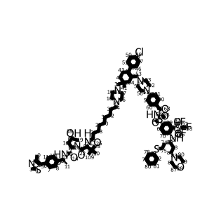 Cc1ncsc1-c1ccc([C@H](C)NC(=O)[C@@H]2C[C@@H](O)CN2C(=O)[C@@H](NC(=O)CCCCCCCCN2CCN(CC3(C)CCC(c4ccc(Cl)cc4)=C(CN4CCN(c5ccc(C(=O)NS(=O)(=O)c6ccc(N[C@@H](CCSc7ccccc7)CCN7CCOCC7)c(S(=O)(=O)C(F)(F)F)c6)cc5)CC4)C3)CC2)C(C)(C)C)cc1